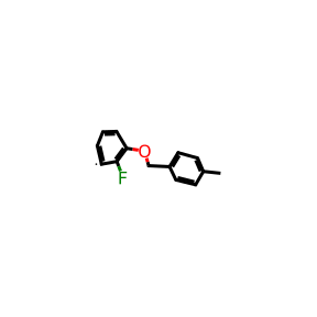 Cc1ccc(COc2ccc[c]c2F)cc1